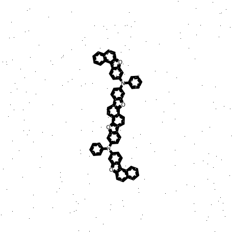 c1ccc(N(c2ccc3c(c2)oc2c3ccc3c2ccc2c4ccc(N(c5ccccc5)c5ccc6c(c5)oc5ccc7ccccc7c56)cc4oc23)c2ccc3c(c2)oc2ccc4ccccc4c23)cc1